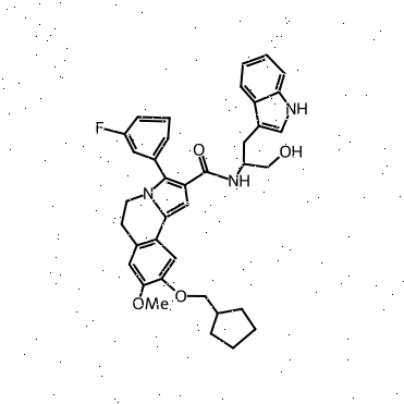 COc1cc2c(cc1OCC1CCCC1)-c1cc(C(=O)NC(CO)Cc3c[nH]c4ccccc34)c(-c3cccc(F)c3)n1CC2